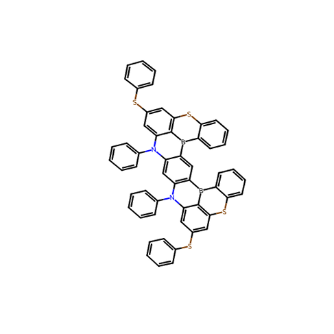 c1ccc(Sc2cc3c4c(c2)N(c2ccccc2)c2cc5c(cc2B4c2ccccc2S3)B2c3ccccc3Sc3cc(Sc4ccccc4)cc(c32)N5c2ccccc2)cc1